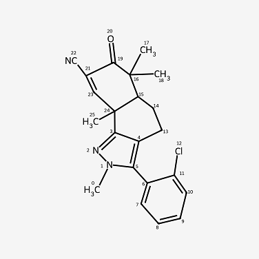 Cn1nc2c(c1-c1ccccc1Cl)CCC1C(C)(C)C(=O)C(C#N)=CC21C